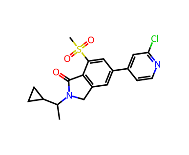 CC(C1CC1)N1Cc2cc(-c3ccnc(Cl)c3)cc(S(C)(=O)=O)c2C1=O